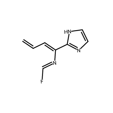 C=C/C=C(\N=C\F)c1ncc[nH]1